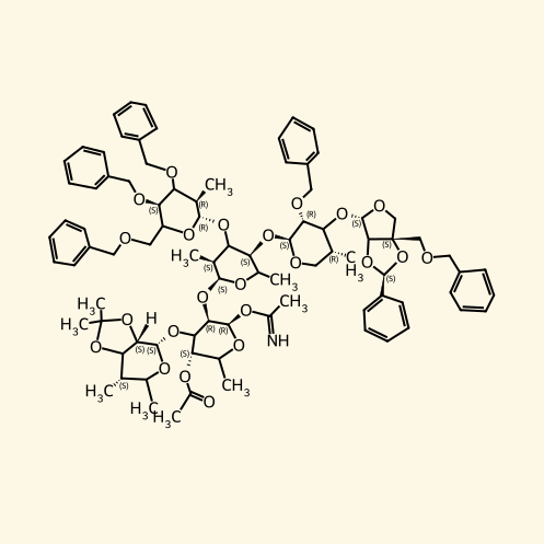 CC(=N)O[C@H]1OC(C)[C@H](OC(C)=O)C(O[C@@H]2OC(C)[C@H](C)C3OC(C)(C)O[C@@H]32)[C@H]1O[C@@H]1OC(C)[C@H](O[C@@H]2OC[C@@H](C)C(O[C@@H]3OC[C@]4(COCc5ccccc5)O[C@@H](c5ccccc5)OC34)[C@H]2OCc2ccccc2)C(O[C@@H]2OC(COCc3ccccc3)[C@@H](OCc3ccccc3)C(OCc3ccccc3)[C@H]2C)[C@@H]1C